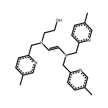 Cc1ccc(CN(/C=C/N(Cc2ccc(C)cn2)Cc2ccc(C)cn2)CCO)nc1